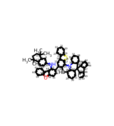 CC1(C)CCC(C)(C)c2cc(Nc3c(-c4cc5c(sc6ccccc65)c5c4Bc4cccc6c4N5c4ccccc4C64c5ccccc5-c5ccccc54)ccc4oc5ccccc5c34)ccc21